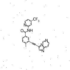 Cc1ccc(C(=O)Nc2cc(C(F)(F)F)ccn2)cc1C#Cc1cnc2ccncn12